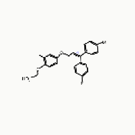 Cc1cc(OC/C=C(\c2ccc(F)cc2)c2ccc(Br)cc2)ccc1OCC(=O)O